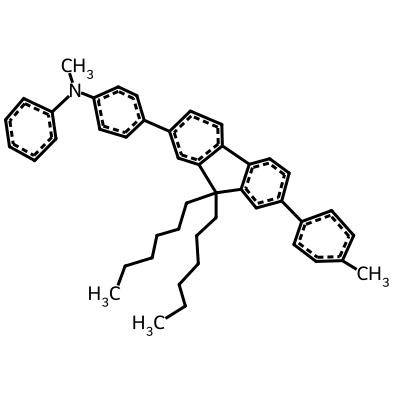 CCCCCCC1(CCCCCC)c2cc(-c3ccc(C)cc3)ccc2-c2ccc(-c3ccc(N(C)c4ccccc4)cc3)cc21